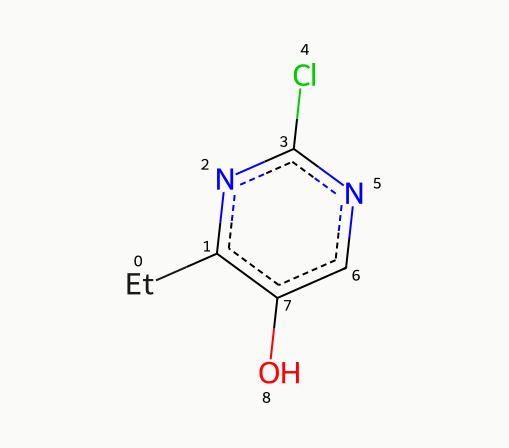 CCc1nc(Cl)ncc1O